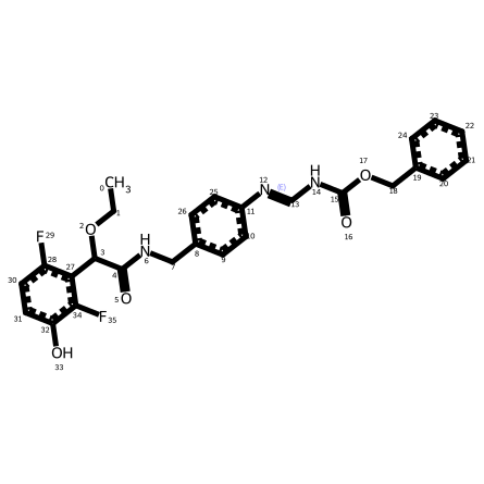 CCOC(C(=O)NCc1ccc(/N=C/NC(=O)OCc2ccccc2)cc1)c1c(F)ccc(O)c1F